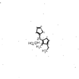 CCC1=CC[C]([Zr][C]2=CC=CC2)=C1C.Cl.Cl